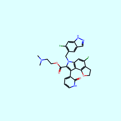 CN(C)CCOC(=O)c1c(-c2ccc[nH]c2=O)c2c3c(c(F)cc2n1Cc1cc2cn[nH]c2cc1F)CCO3